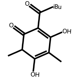 CCC(C)C(=O)C1=C(O)C(C)=C(O)C(C)C1=O